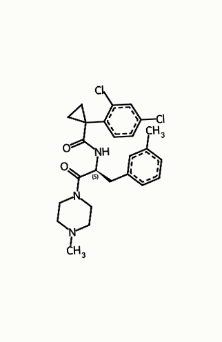 Cc1cccc(C[C@H](NC(=O)C2(c3ccc(Cl)cc3Cl)CC2)C(=O)N2CCN(C)CC2)c1